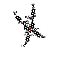 C#CCOc1ccc2cc(C(=O)OCC(COc3ccc4ccc(OCC(COC(=O)c5ccc6cc(OCC#C)ccc6c5)OC(=O)C=C)c(Cc5c(OCC(COC(=O)c6ccc7cc(OCC#C)ccc7c6)OC(=O)C=C)ccc6ccc(OCC(COC(=O)c7ccc8cc(OCC#C)ccc8c7)OC(=O)C=C)cc56)c4c3)OC(=O)C=C)ccc2c1